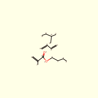 C=C(C)C(=O)OCCCC.C=CC=C.[CH2]CC(C)C